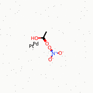 CC(=O)O.O=[N+]([O-])[O-].[Pd].[Pt]